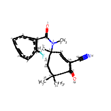 CN(C(=O)c1ccccc1F)C1(C)C=C(C#N)C(=O)C(C)(C)C1